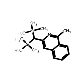 Cc1nc(C([Si](C)(C)C)[Si](C)(C)C)cc2ccccc12